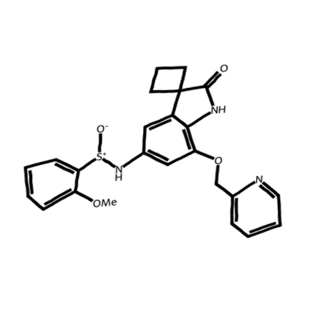 COc1ccccc1[S+]([O-])Nc1cc(OCc2ccccn2)c2c(c1)C1(CCC1)C(=O)N2